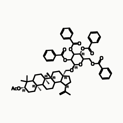 C=C(C)[C@@H]1CC[C@]2(CO[C@@H]3OC(COC(=O)c4ccccc4)[C@@H](OC(=O)c4ccccc4)C(OC(=O)c4ccccc4)C3OC(=O)c3ccccc3)CC[C@]3(C)C(CCC4[C@@]5(C)CC[C@H](OC(C)=O)C(C)(C)C5CC[C@]43C)C12